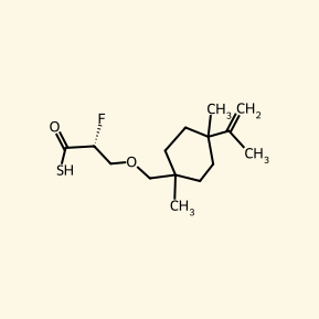 C=C(C)C1(C)CCC(C)(COC[C@@H](F)C(=O)S)CC1